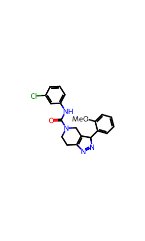 COc1ccccc1C1N=NC2=C1CN(C(=O)Nc1cccc(Cl)c1)CC2